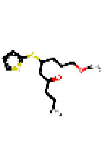 CCCC(=O)CC(CCCOC)Sc1cccs1